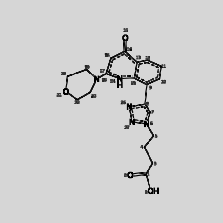 O=C(O)CCCn1cc(-c2cccc3c(=O)cc(N4CCOCC4)[nH]c23)nn1